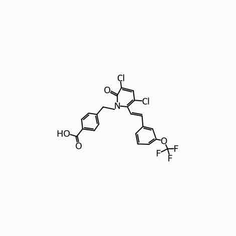 O=C(O)c1ccc(CCn2c(C=Cc3cccc(OC(F)(F)F)c3)c(Cl)cc(Cl)c2=O)cc1